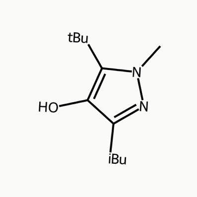 CCC(C)c1nn(C)c(C(C)(C)C)c1O